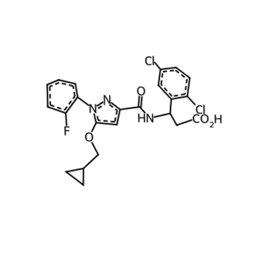 O=C(O)CC(NC(=O)c1cc(OCC2CC2)n(-c2ccccc2F)n1)c1cc(Cl)ccc1Cl